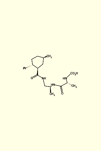 CC(C)[C@@H]1CC[C@@H](C)C[C@H]1C(=O)NC[C@H](C)NC(=O)[C@@H](C)NC(=O)O